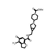 COC(=O)N1CCC(N2CC3C(CNC(=O)c4cc(Cl)c(N)c5c4OCC5)C3C2)CC1